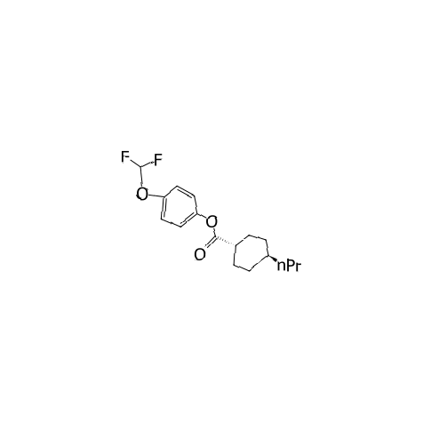 CCC[C@H]1CC[C@H](C(=O)Oc2ccc(OC(F)F)cc2)CC1